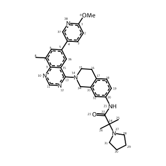 COc1ccc(-c2cc(C)c3ncnc(N4CCc5ccc(NC(=O)C(C)(C)N6CCCC6)cc5C4)c3c2)cn1